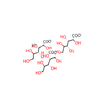 O=C([O-])[C@H](O)[C@@H](O)[C@H](O)[C@H](O)CO.O=C([O-])[C@H](O)[C@@H](O)[C@H](O)[C@H](O)CO.O=C([O-])[C@H](O)[C@@H](O)[C@H](O)[C@H](O)CO.[Ir+3]